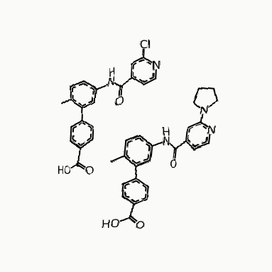 Cc1ccc(NC(=O)c2ccnc(Cl)c2)cc1-c1ccc(C(=O)O)cc1.Cc1ccc(NC(=O)c2ccnc(N3CCCC3)c2)cc1-c1ccc(C(=O)O)cc1